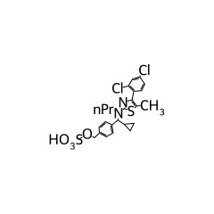 CCCN(c1nc(-c2ccc(Cl)cc2Cl)c(C)s1)C(c1ccc(COS(=O)(=O)O)cc1)C1CC1